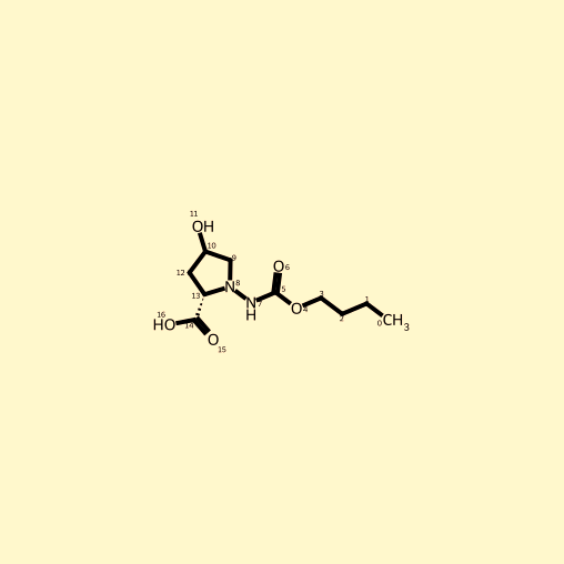 CCCCOC(=O)NN1CC(O)C[C@H]1C(=O)O